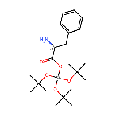 CC(C)(C)O[Si](OC(=O)[C@@H](N)Cc1ccccc1)(OC(C)(C)C)OC(C)(C)C